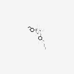 CCCCNC(=O)c1cccc(CN2C(=N)NC(C)(c3ccc4sccc4c3)CC2=O)c1